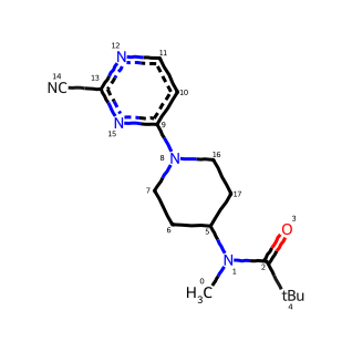 CN(C(=O)C(C)(C)C)C1CCN(c2ccnc(C#N)n2)CC1